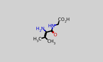 CC(C)=C(N)C(=O)NCC(=O)O